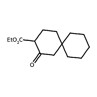 CCOC(=O)C1CCC2(CCCCC2)CC1=O